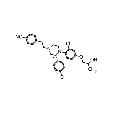 CC(O)COc1ccc(N2CCN(CCc3ccc(C#N)cc3)C[C@H]2c2ccc(Cl)cc2)c(Cl)c1